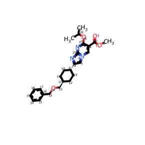 COC(=O)c1cn2cc([C@H]3CC[C@H](COCc4ccccc4)CC3)nc2nc1OC(C)C